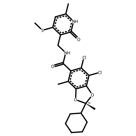 CSc1cc(C)[nH]c(=O)c1CNC(=O)c1c(C)c2c(c(Cl)c1Cl)O[C@](C)(C1CCCCC1)O2